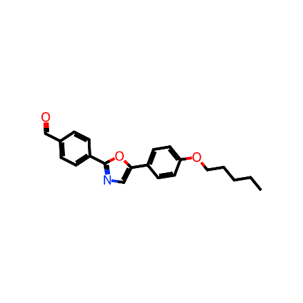 CCCCCOc1ccc(-c2cnc(-c3ccc(C=O)cc3)o2)cc1